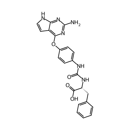 Nc1nc(Oc2ccc(NC(=O)N[C@H](Cc3ccccc3)C(=O)O)cc2)c2cc[nH]c2n1